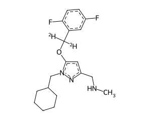 [2H]C([2H])(Oc1cc(CNC)nn1CC1CCCCC1)c1cc(F)ccc1F